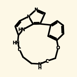 C1=Cn2ncc3c2NC1NCCCNCCOc1cccc-3c1